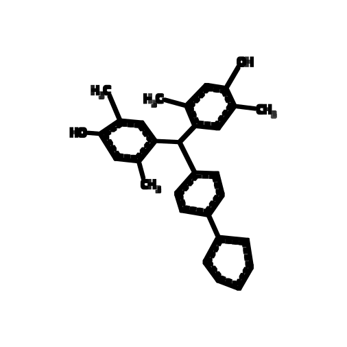 Cc1cc(C(c2ccc(-c3ccccc3)cc2)c2cc(C)c(O)cc2C)c(C)cc1O